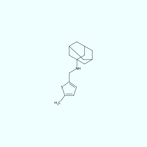 Cc1ccc(CNC23CC4CC(CC(C4)C2)C3)s1